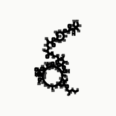 CCCC(C)COC1=C(C)C2CC(=C1)CC(C)CCCC(OC)C1(O)CC(C)(OC(=O)N1)[C@@H](C)[C@@H]1O[C@@]1(C)[C@@H](OC(=O)[C@H](C)N(C)C(=O)CCSC(=O)C(C)CCC(C)C(=O)OC1/C=C/CC(OCC(=O)NC(C)(CC)CC)CCC1)CC(O)C2C